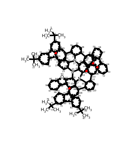 CC(C)(C)c1ccc2c(c1)c1cc(C(C)(C)C)ccc1n2-c1ccc2c(c1)N(c1c(-c3ccccc3)cccc1-c1ccccc1)c1cc(-n3c4ccccc4c4ccccc43)cc3c1B2c1c(cc(-n2c4ccc(C(C)(C)C)cc4c4cc(C(C)(C)C)ccc42)c2c1oc1ccccc12)N3c1c(-c2ccccc2)cccc1-c1ccccc1